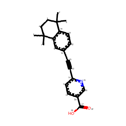 CC1(C)CCC(C)(C)c2cc(C#Cc3ccc(C(=O)O)cn3)ccc21